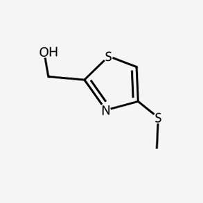 CSc1csc(CO)n1